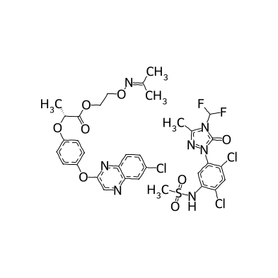 CC(C)=NOCCOC(=O)[C@@H](C)Oc1ccc(Oc2cnc3cc(Cl)ccc3n2)cc1.Cc1nn(-c2cc(NS(C)(=O)=O)c(Cl)cc2Cl)c(=O)n1C(F)F